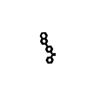 C1=Cc2cc(-c3ccc(Nc4ccccc4)cc3)ccc2CC1